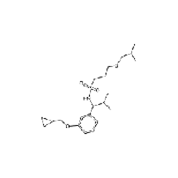 CC(C)COCCCS(=O)(=O)NC(c1cccc(OCC2CC2)c1)C(C)C